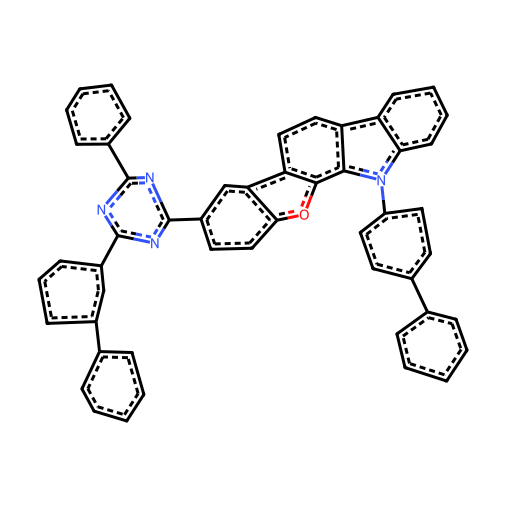 c1ccc(-c2ccc(-n3c4ccccc4c4ccc5c6cc(-c7nc(-c8ccccc8)nc(-c8cccc(-c9ccccc9)c8)n7)ccc6oc5c43)cc2)cc1